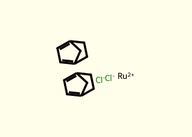 C1=C2CCC(=C1)C2.C1=C2CCC(=C1)C2.[Cl-].[Cl-].[Ru+2]